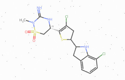 CN1C(=N)N[C@H](C2=C(Cl)CC(C3Cc4cccc(Cl)c4N3)S2)CS1(=O)=O